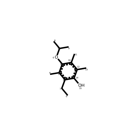 CCc1c(C)c(OC(C)C)c(C)c(C)c1O